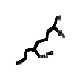 CC(C)=CCC/C(C)=C/CO.Cl